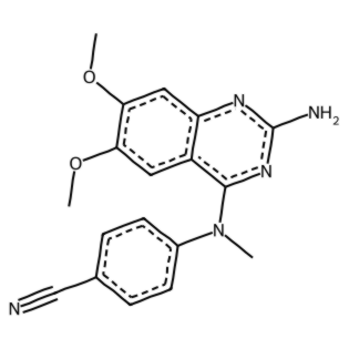 COc1cc2nc(N)nc(N(C)c3ccc(C#N)cc3)c2cc1OC